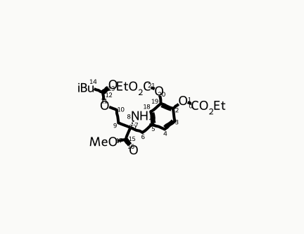 CCOC(=O)Oc1ccc(C[C@](N)(CCOC(=O)C(C)CC)C(=O)OC)cc1OC(=O)OCC